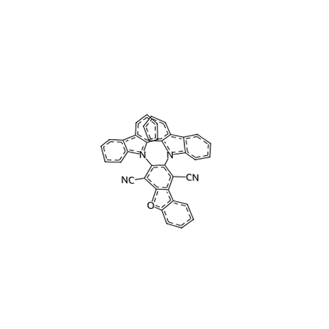 N#Cc1c(-n2c3ccccc3c3ccccc32)c(-n2c3ccccc3c3ccccc32)c(C#N)c2c1oc1ccccc12